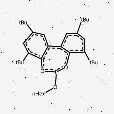 CCCCCCOp1oc2c(C(C)(C)C)cc(C(C)(C)C)cc2c2cc(C(C)(C)C)cc(C(C)(C)C)c2o1